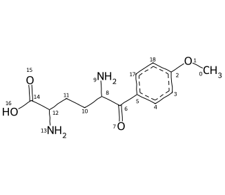 COc1ccc(C(=O)C(N)CCC(N)C(=O)O)cc1